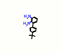 CC(C)(C)c1ccc(-c2cccc(N)c2N)cc1